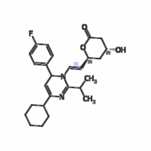 CC(C)C1=NC(C2CCCCC2)=CC(c2ccc(F)cc2)N1/C=C/[C@@H]1C[C@@H](O)CC(=O)O1